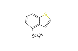 O=S(=O)(O)c1cccc2sccc12